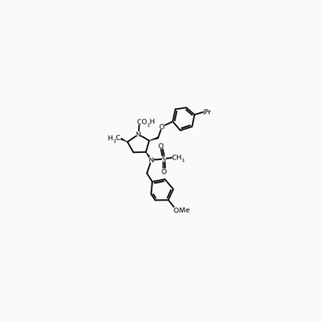 COc1ccc(CN([C@H]2C[C@@H](C)N(C(=O)O)[C@H]2COc2ccc(C(C)C)cc2)S(C)(=O)=O)cc1